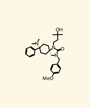 COc1ccc(CN2C[C@]3(CC[C@@](c4ccccc4)(N(C)C)CC3)N(CCC(C)(C)O)C2=O)cc1